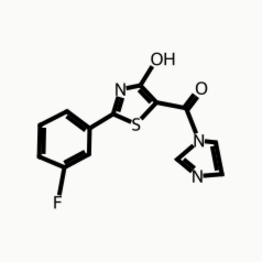 O=C(c1sc(-c2cccc(F)c2)nc1O)n1ccnc1